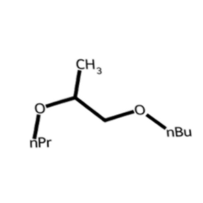 C[CH]COC(C)COCCCC